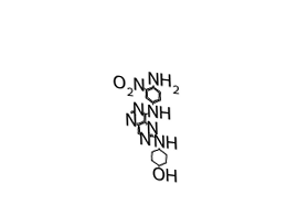 Nc1ccc(Nc2ncnc3cnc(NC4CCC(O)CC4)nc23)cc1[N+](=O)[O-]